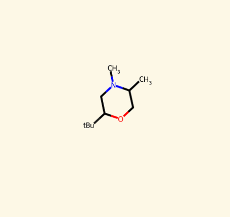 CC1COC(C(C)(C)C)CN1C